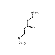 CCCCCCOC(=O)CCN[C]=O